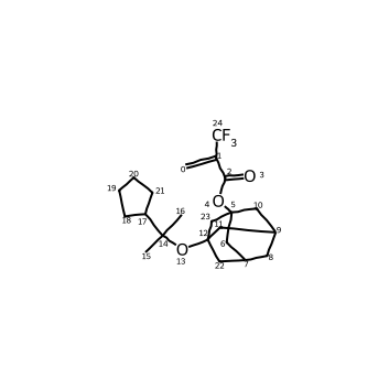 C=C(C(=O)OC12CC3CC(C1)CC(OC(C)(C)C1CCCC1)(C3)C2)C(F)(F)F